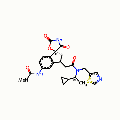 CNC(=O)Nc1ccc2c(c1)C(CC(=O)N(Cc1cncs1)[C@@H](C)C1CC1)C[C@@]21OC(=O)NC1=O